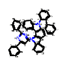 c1ccc(-c2cc(-n3c4ccccc4c4ccc5c(c6ccccc6n5-c5ccccc5-c5ccccc5)c43)nc(-c3ccccc3)n2)cc1